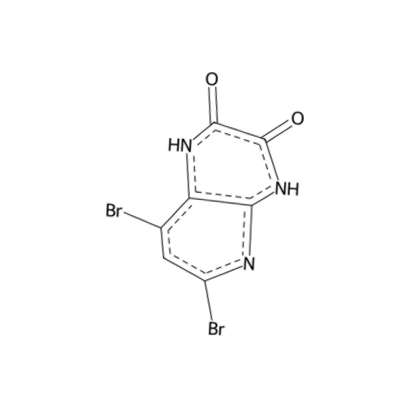 O=c1[nH]c2nc(Br)cc(Br)c2[nH]c1=O